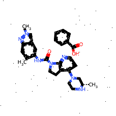 Cc1cc2nn(C)cc2cc1NC(=O)N1CCc2c(N3CCN[C@@H](C)C3)ccnc21.O=C(O)c1ccccc1